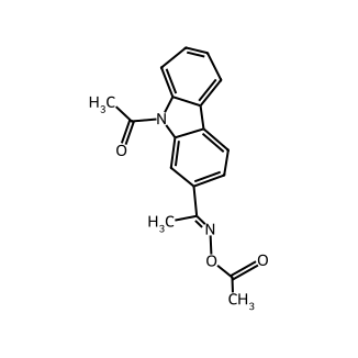 CC(=O)ON=C(C)c1ccc2c3ccccc3n(C(C)=O)c2c1